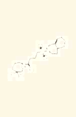 O=C(CCCS(=O)(=O)N1CCC2CCCC=C2C1)N1CCCC(F)(F)C1